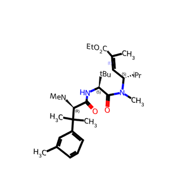 CCOC(=O)/C(C)=C/[C@H](C(C)C)N(C)C(=O)[C@@H](NC(=O)[C@H](NC)C(C)(C)c1cccc(C)c1)C(C)(C)C